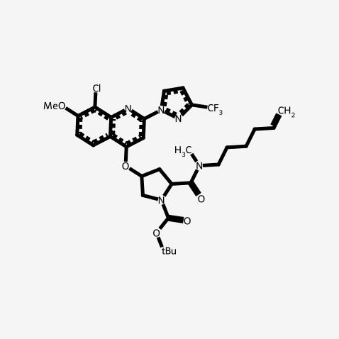 C=CCCCCN(C)C(=O)C1CC(Oc2cc(-n3ccc(C(F)(F)F)n3)nc3c(Cl)c(OC)ccc23)CN1C(=O)OC(C)(C)C